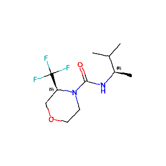 CC(C)[C@@H](C)NC(=O)N1CCOC[C@H]1C(F)(F)F